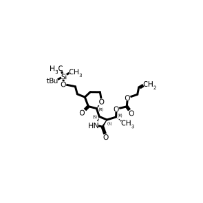 C=CCOC(=O)O[C@H](C)[C@H]1C(=O)N[C@@H]1[C@H]1OCCC(CCO[Si](C)(C)C(C)(C)C)C1=O